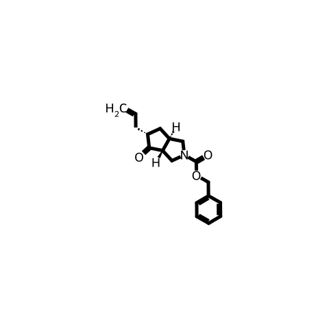 C=CC[C@@H]1C[C@H]2CN(C(=O)OCc3ccccc3)C[C@@H]2C1=O